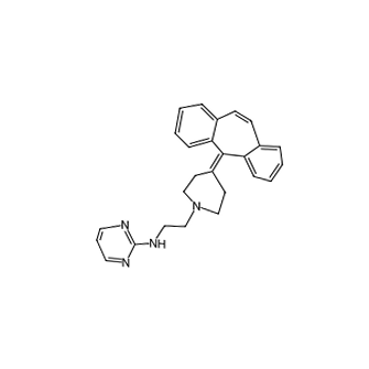 C1=Cc2ccccc2C(=C2CCN(CCNc3ncccn3)CC2)c2ccccc21